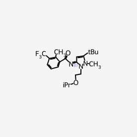 Cc1c(C(=O)/N=c2\cc(C(C)(C)C)n(C)n2CCOC(C)C)cccc1C(F)(F)F